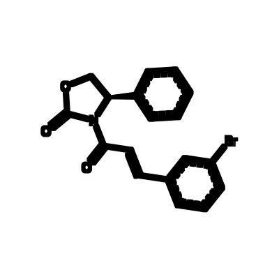 O=C(/C=C/c1cccc(Br)c1)N1C(=O)OC[C@H]1c1ccccc1